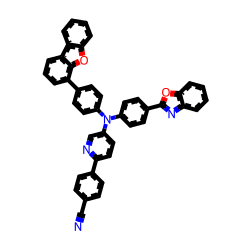 N#Cc1ccc(-c2ccc(N(c3ccc(-c4nc5ccccc5o4)cc3)c3ccc(-c4cccc5c4oc4ccccc45)cc3)cn2)cc1